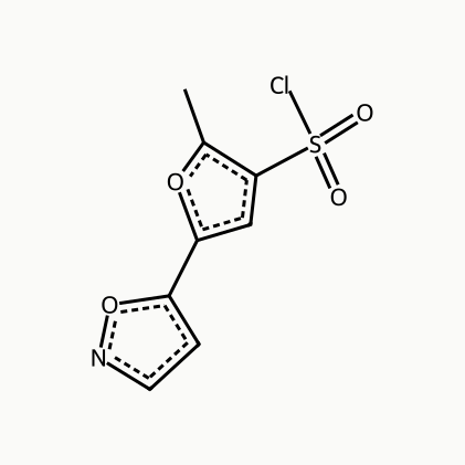 Cc1oc(-c2ccno2)cc1S(=O)(=O)Cl